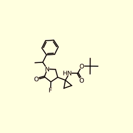 CC(c1ccccc1)N1CC(C2(NC(=O)OC(C)(C)C)CC2)C(F)C1=O